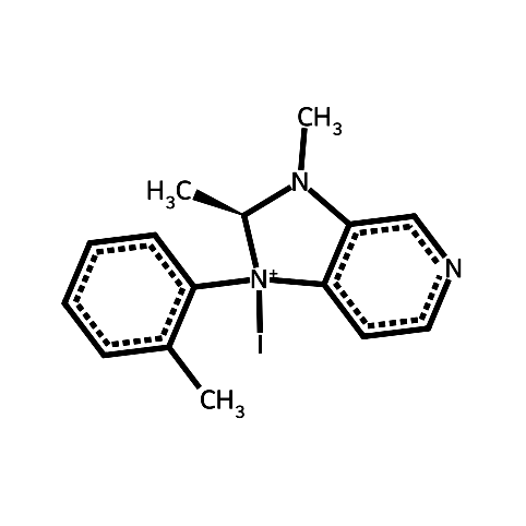 Cc1ccccc1[N+]1(I)c2ccncc2N(C)[C@@H]1C